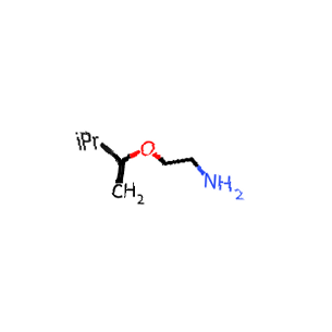 C=C(OCCN)C(C)C